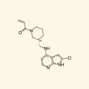 C=CC(=O)N1CCC[C@H](CNc2ccnc3[nH]c(Cl)cc23)C1